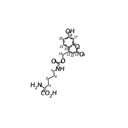 N[C@@H](CCCCNC(=O)OCc1cc(=O)oc2cc(O)ccc12)C(=O)O